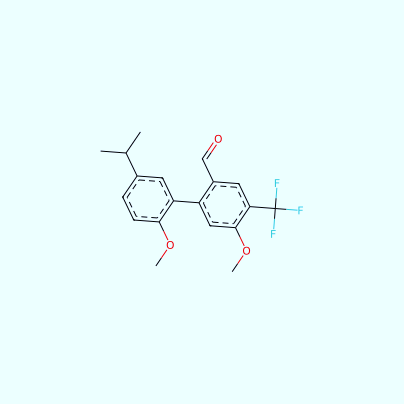 COc1ccc(C(C)C)cc1-c1cc(OC)c(C(F)(F)F)cc1C=O